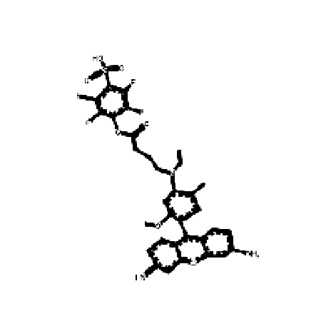 CCN(CCCC(=O)Oc1c(F)c(F)c(S(=O)(=O)O)c(F)c1F)c1cc(OC)c(-c2c3ccc(=N)cc-3oc3cc(N)ccc23)cc1C